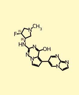 CN1C[C@H](F)[C@H](Nc2nc(O)c3c(-c4cnc5nccn5c4)ccn3n2)C1